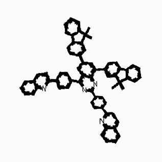 CC1(C)c2ccccc2-c2ccc(-c3cc(-c4ccc5c(c4)C(C)(C)c4ccccc4-5)c4nc(-c5ccc(-c6ccc7ccccc7n6)cc5)nc(-c5ccc(-c6ccc7ccccc7n6)cc5)c4c3)cc21